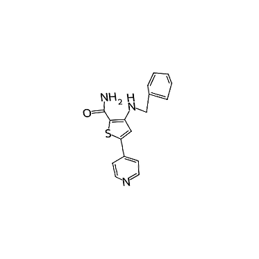 NC(=O)c1sc(-c2ccncc2)cc1NCc1ccccc1